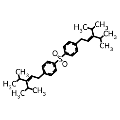 CC(C)C(=CCc1ccc(S(=O)(=O)c2ccc(CC=C(C(C)C)C(C)C)cc2)cc1)C(C)C